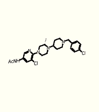 CC(=O)Nc1cnc(N2CCN(C3CCN(Cc4ccc(Cl)cc4)CC3)[C@@H](C)C2)c(Cl)c1